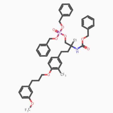 CCC(CCc1ccc(OCCCc2cccc(OC(F)(F)F)c2)c(C(F)(F)F)c1)(COP(=O)(OCc1ccccc1)OCc1ccccc1)NC(=O)OCc1ccccc1